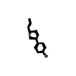 CCCC1C=CC(C2=CCC(Br)C=C2)=CC1